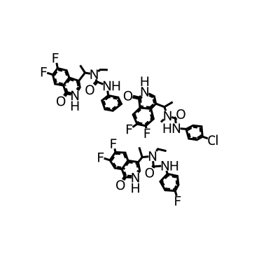 CC(c1c[nH]c(=O)c2cc(F)c(F)cc12)N(C)C(=O)Nc1ccc(Cl)cc1.CCN(C(=O)Nc1ccc(F)cc1)C(C)c1c[nH]c(=O)c2cc(F)c(F)cc12.CCN(C(=O)Nc1ccccc1)C(C)c1c[nH]c(=O)c2cc(F)c(F)cc12